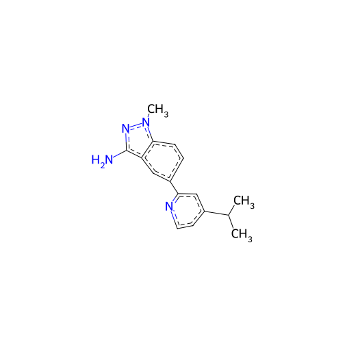 CC(C)c1ccnc(-c2ccc3c(c2)c(N)nn3C)c1